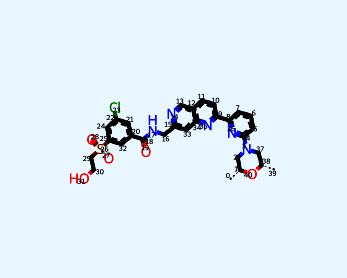 C[C@@H]1CN(c2cccc(-c3ccc4cnc(CNC(=O)c5cc(Cl)cc(S(=O)(=O)CCO)c5)cc4n3)n2)C[C@H](C)O1